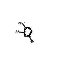 CCCc1ccc(Br)cc1Br